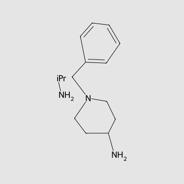 CC(C)N.NC1CCN(Cc2ccccc2)CC1